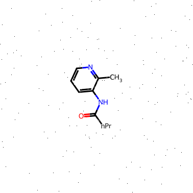 CCCC(=O)Nc1cccnc1C